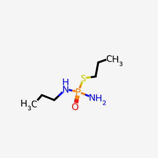 CCCNP(N)(=O)SCCC